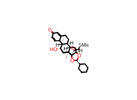 CSCC(=O)[C@@]12O[C@H](C3CCCCC3)O[C@@H]1C[C@H]1[C@@H]3CCC4=CC(=O)C=C[C@]4(C)[C@H]3[C@@H](O)C[C@@]12C